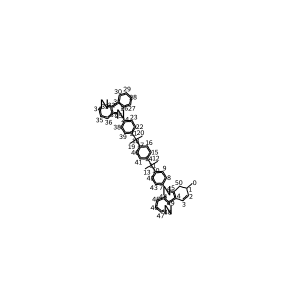 CC1C=Cc2c(n(-c3ccc(C(C)(C)c4ccc(C(C)(C)c5ccc(-n6c7ccccc7c7ncccc76)cc5)cc4)cc3)c3cccnc23)C1